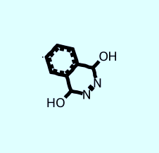 OC1N=NC(O)c2cc[c]cc21